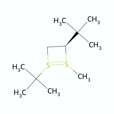 CS1=S(C(C)(C)C)C[C@H]1C(C)(C)C